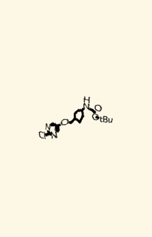 CC(C)(C)OC(=O)NC1CCC(COc2cnc(Cl)nc2)CC1